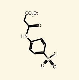 CCOC(=O)CC(=O)Nc1ccc(S(=O)(=O)Cl)cc1